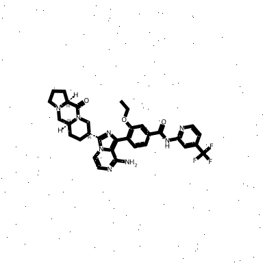 CCOc1cc(C(=O)Nc2cc(C(F)(F)F)ccn2)ccc1-c1nc([C@@H]2CC[C@H]3CN4CCC[C@H]4C(=O)N3C2)n2ccnc(N)c12